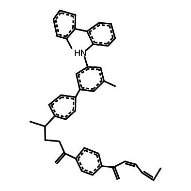 C=C(/C=C\C=C/C)c1ccc(C(=C)CCC(C)c2ccc(-c3cc(C)cc(Nc4ccccc4-c4ccccc4C)c3)cc2)cc1